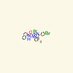 O=C(Nc1cccc2ccccc12)c1nn2c(C(F)(F)F)cc(-c3ccc(Br)cc3)nc2c1Br